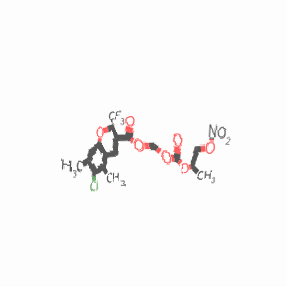 Cc1cc2c(c(C)c1Cl)C=C(C(=O)OCOC(=O)OC(C)CO[N+](=O)[O-])[C@@H](C(F)(F)F)O2